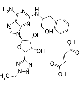 CCn1nnc([C@H]2O[C@@H](n3cnc4c(N)nc(N[C@H](CO)Cc5ccccc5)nc43)[C@H](O)[C@@H]2O)n1.O=C(O)C=CC(=O)O